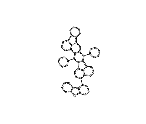 c1ccc(-c2c3cc4c5ccccc5c5cccc(c3c(-c3ccccc3)c3c6ccc(-c7cccc8oc9ccccc9c78)c7cccc(c23)c76)c54)cc1